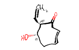 C=C[C@H]1C(=O)C=CC[C@@H]1O